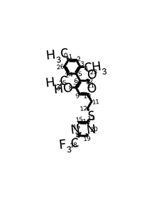 Cc1cc(C)c(-c2c(O)cc(CCSc3cnc(C(F)(F)F)cn3)oc2=O)c(C)c1